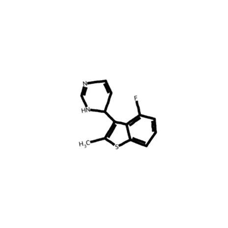 Cc1sc2cccc(F)c2c1C1C=CN=CN1